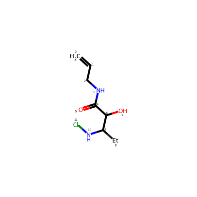 C=CCNC(=O)C(O)C(CC)NCl